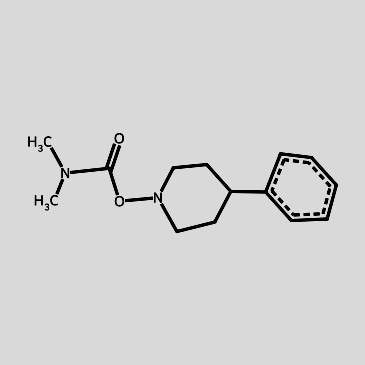 CN(C)C(=O)ON1CCC(c2ccccc2)CC1